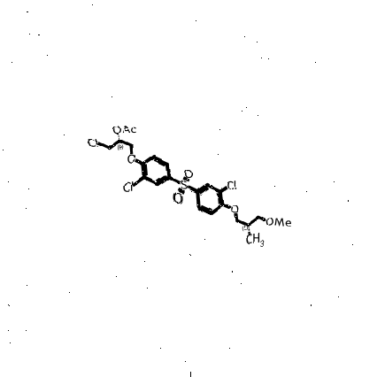 COC[C@H](C)COc1ccc(S(=O)(=O)c2ccc(OC[C@H](CCl)OC(C)=O)c(Cl)c2)cc1Cl